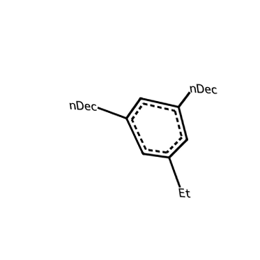 [CH2]Cc1cc(CCCCCCCCCC)cc(CCCCCCCCCC)c1